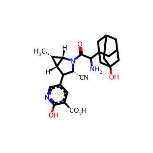 C[C@H]1[C@H]2C(c3cnc(O)c(C(=O)O)c3)[C@@H](C#N)N(C(=O)C(N)C34CC5CC(CC(O)(C5)C3)C4)[C@@H]12